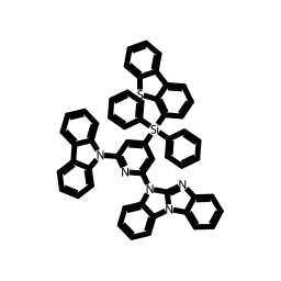 c1ccc([Si](c2ccccc2)(c2cc(-n3c4ccccc4c4ccccc43)nc(-n3c4ccccc4n4c5ccccc5nc34)c2)c2cccc3c2sc2ccccc23)cc1